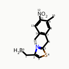 BCc1csc(Cc2cc(C)c([N+](=O)[O-])cc2C)n1